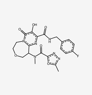 Cc1nnc(C(=O)N(C)C2COCCn3c2nc(C(=O)NCc2ccc(F)cc2)c(O)c3=O)o1